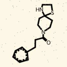 O=C(CCc1ccccc1)N1CCC2(CC1)NCCS2